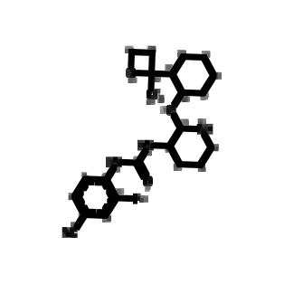 N#Cc1ccc(NC(=O)NC2CCCNC2OC2CCCCC2C2(C(F)(F)F)CCO2)c(F)c1